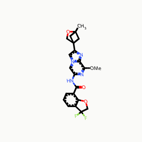 COc1nc(NC(=O)c2cccc3c2OCC3(F)F)cn2cc(C34COC(C)(C3)C4)nc12